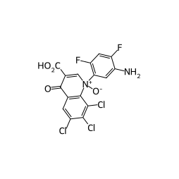 Nc1cc([N+]2([O-])C=C(C(=O)O)C(=O)c3cc(Cl)c(Cl)c(Cl)c32)c(F)cc1F